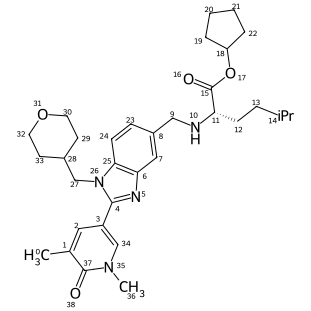 Cc1cc(-c2nc3cc(CN[C@@H](CCC(C)C)C(=O)OC4CCCC4)ccc3n2CC2CCOCC2)cn(C)c1=O